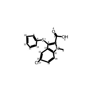 Cn1c(C(=O)O)c(Sc2ccccc2)c2cc(Cl)ccc21